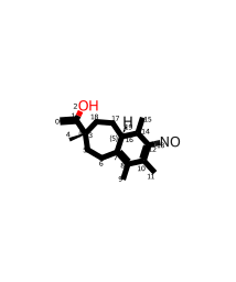 C=C(O)[C@@]1(C)CCC2=C(C)C(C)=C(N=O)C(C)[C@@H]2CC1